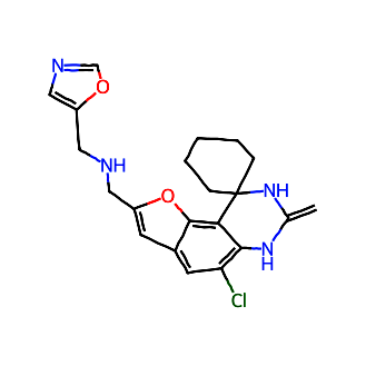 C=C1Nc2c(Cl)cc3cc(CNCc4cnco4)oc3c2C2(CCCCC2)N1